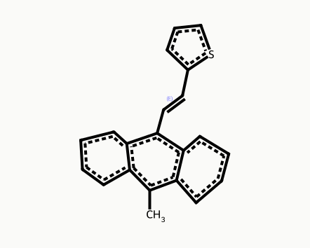 Cc1c2ccccc2c(/C=C/c2cccs2)c2ccccc12